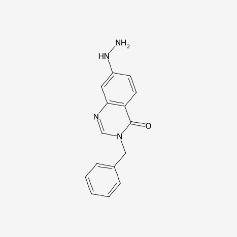 NNc1ccc2c(=O)n(Cc3ccccc3)cnc2c1